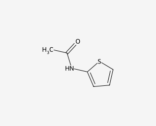 CC(=O)Nc1cccs1